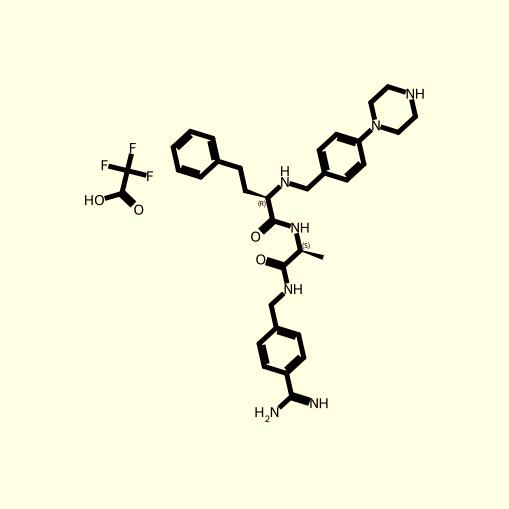 C[C@H](NC(=O)[C@@H](CCc1ccccc1)NCc1ccc(N2CCNCC2)cc1)C(=O)NCc1ccc(C(=N)N)cc1.O=C(O)C(F)(F)F